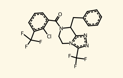 O=C(c1cccc(C(F)(F)F)c1Cl)N1CCn2c(nnc2C(F)(F)F)C1Cc1ccccc1